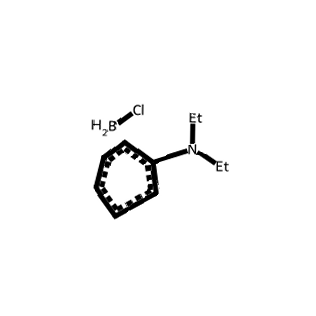 BCl.CCN(CC)c1ccccc1